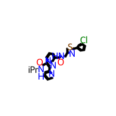 CC(C)NC(=O)c1c(-c2ccccn2)nc2c(C(=O)NCC3CSC(c4cccc(Cl)c4)=N3)cccn12